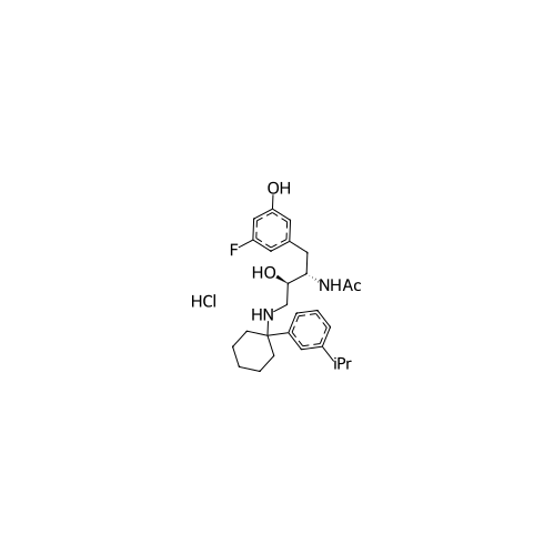 CC(=O)N[C@@H](Cc1cc(O)cc(F)c1)[C@H](O)CNC1(c2cccc(C(C)C)c2)CCCCC1.Cl